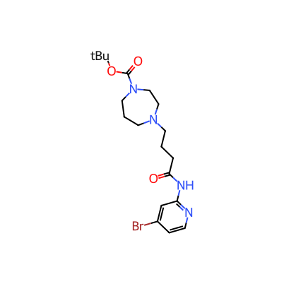 CC(C)(C)OC(=O)N1CCCN(CCCC(=O)Nc2cc(Br)ccn2)CC1